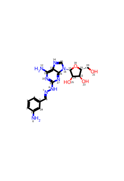 Nc1cccc(C=NNc2nc(N)c3ncn([C@@H]4O[C@H](CO)[C@@H](O)[C@H]4O)c3n2)c1